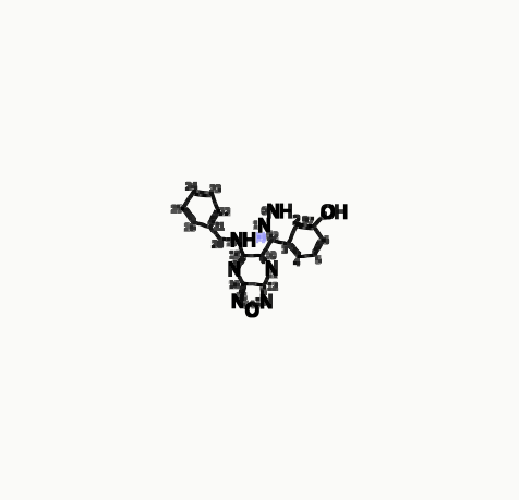 N/N=C(\c1cccc(O)c1)c1nc2nonc2nc1NCc1ccccc1